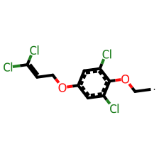 [CH2]COc1c(Cl)cc(OCC=C(Cl)Cl)cc1Cl